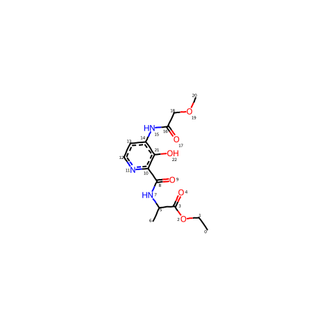 CCOC(=O)C(C)NC(=O)c1nccc(NC(=O)COC)c1O